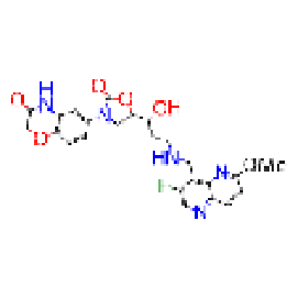 COc1ccc2ncc(F)c(CNCC[C@@H](O)C3CN(c4ccc5c(c4)NC(=O)CO5)C(=O)O3)c2n1